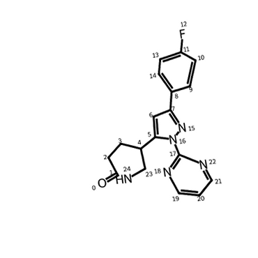 O=C1CCC(c2cc(-c3ccc(F)cc3)nn2-c2ncccn2)CN1